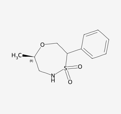 C[C@@H]1CNS(=O)(=O)C(c2ccccc2)CO1